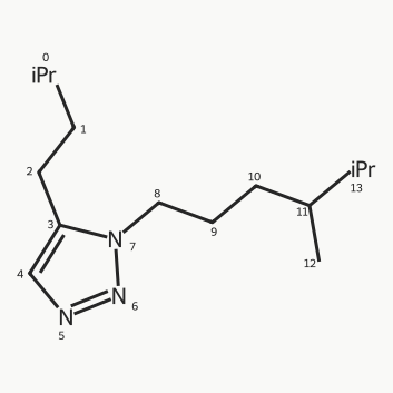 CC(C)CCc1cnnn1CCCC(C)C(C)C